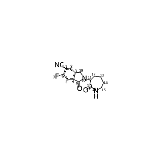 N#Cc1cc2c(cc1F)C(=O)N(C1CCCCNC1=O)C2